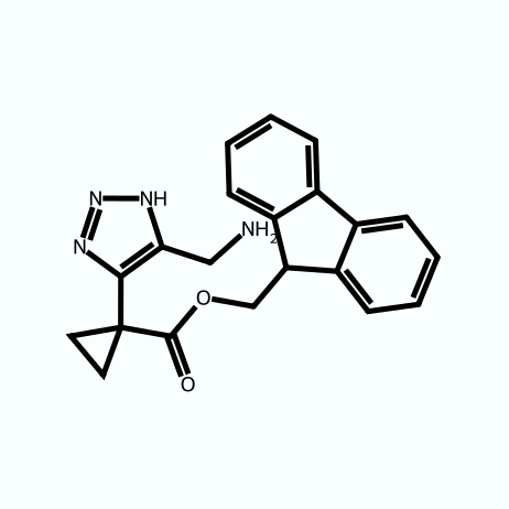 NCc1[nH]nnc1C1(C(=O)OCC2c3ccccc3-c3ccccc32)CC1